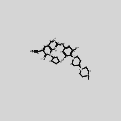 CN1CCN(C2CCN(c3c(F)cc(Nc4ncc5cc(C#N)c(=O)n(C6CCCC6)c5n4)cc3F)CC2)CC1